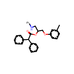 Cc1cccc(OCC(CNC(C)C)OC(=O)C(c2ccccc2)c2ccccc2)c1